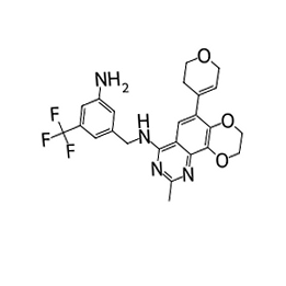 Cc1nc(NCc2cc(N)cc(C(F)(F)F)c2)c2cc(C3=CCOCC3)c3c(c2n1)OCCO3